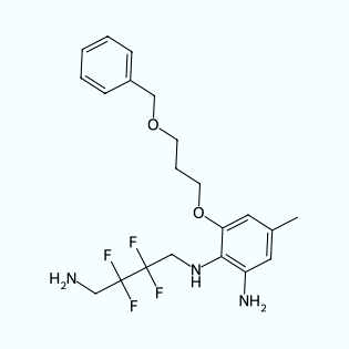 Cc1cc(N)c(NCC(F)(F)C(F)(F)CN)c(OCCCOCc2ccccc2)c1